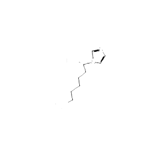 C[C@H](CCCCCC(=O)O)n1ccnc1